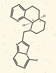 Fc1cccc2nc(CN3CCC[C@@H]4CCc5cccnc5[C@@H]43)cn12